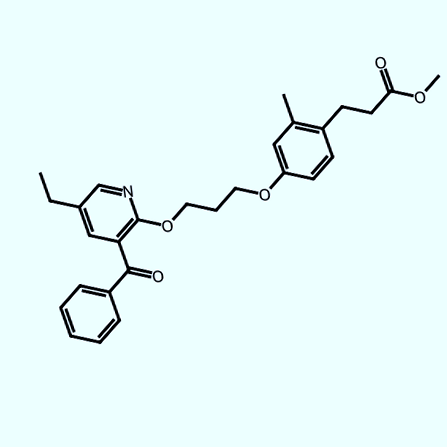 CCc1cnc(OCCCOc2ccc(CCC(=O)OC)c(C)c2)c(C(=O)c2ccccc2)c1